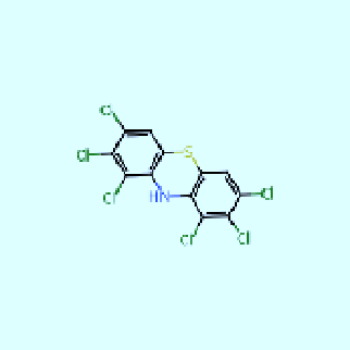 Clc1cc2c(c(Cl)c1Cl)Nc1c(cc(Cl)c(Cl)c1Cl)S2